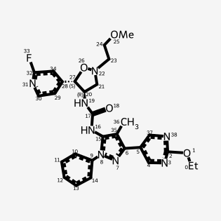 CCOc1ncc(-c2nn(-c3ccccc3)c(NC(=O)N[C@@H]3CN(CCOC)O[C@H]3c3ccnc(F)c3)c2C)cn1